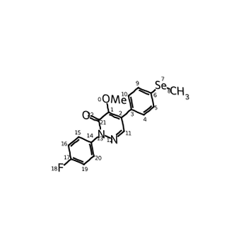 COc1c(-c2ccc([Se]C)cc2)cnn(-c2ccc(F)cc2)c1=O